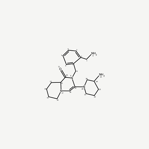 NCc1ccccc1CN1C(=O)C2CCCCN2C=C1N1CCCC(N)C1